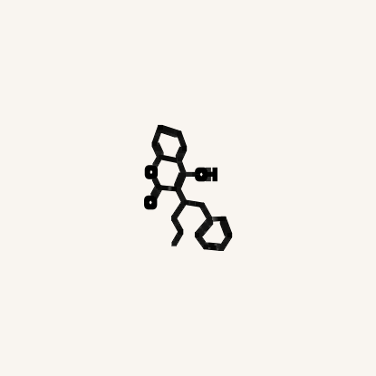 CCCC(Cc1ccccc1)c1c(O)c2ccccc2oc1=O